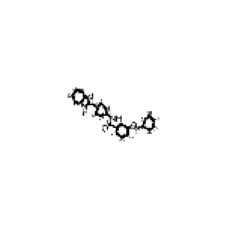 O=C(Nc1ccc(-c2nc3ccccc3[nH]2)cc1)c1cccc(OCc2ccccc2)c1